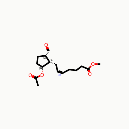 COC(=O)CCC/C=C\C[C@H]1[C@@H](C=O)CC[C@H]1OC(C)=O